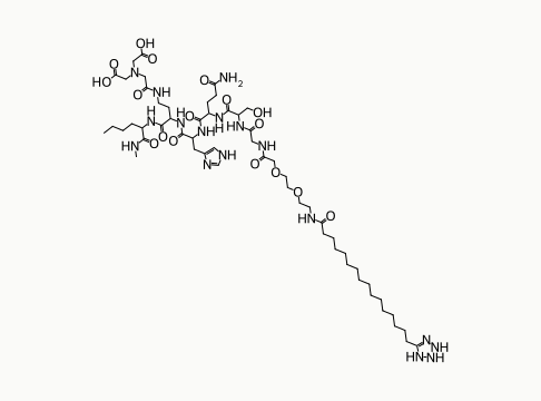 CCCCC(NC(=O)C(CCNC(=O)CN(CC(=O)O)CC(=O)O)NC(=O)C(Cc1c[nH]cn1)NC(=O)C(CCC(N)=O)NC(=O)C(CO)NC(=O)CNC(=O)COCCOCCNC(=O)CCCCCCCCCCCCCCCC1=NNNN1)C(=O)NC